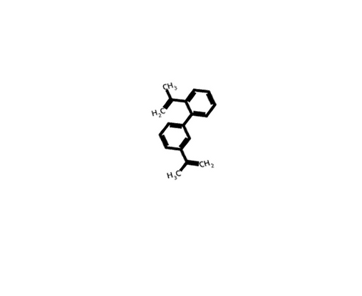 C=C(C)c1cccc(-c2ccccc2C(=C)C)c1